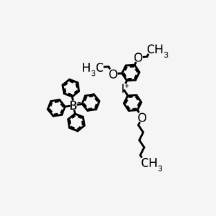 CCCCCCOc1ccc([I+]c2ccc(OCC)cc2OCC)cc1.c1ccc([B-](c2ccccc2)(c2ccccc2)c2ccccc2)cc1